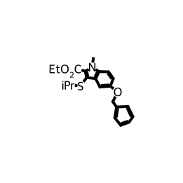 CCOC(=O)c1c(SC(C)C)c2cc(OCc3ccccc3)ccc2n1C